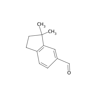 CC1(C)CCc2ccc(C=O)cc21